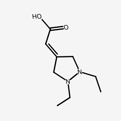 CCN1CC(=CC(=O)O)CN1CC